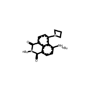 CCCCNc1ccc2c3c(ccc(N4CCC4)c13)C(=O)N(CCCC)C2=O